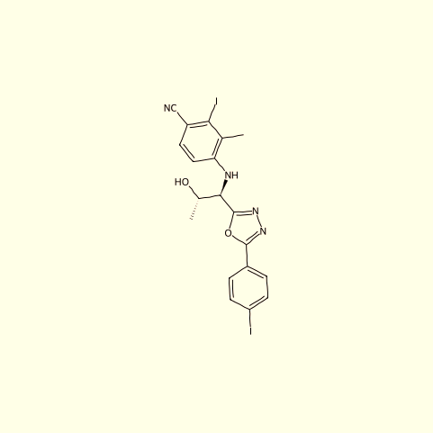 Cc1c(N[C@@H](c2nnc(-c3ccc(I)cc3)o2)[C@H](C)O)ccc(C#N)c1I